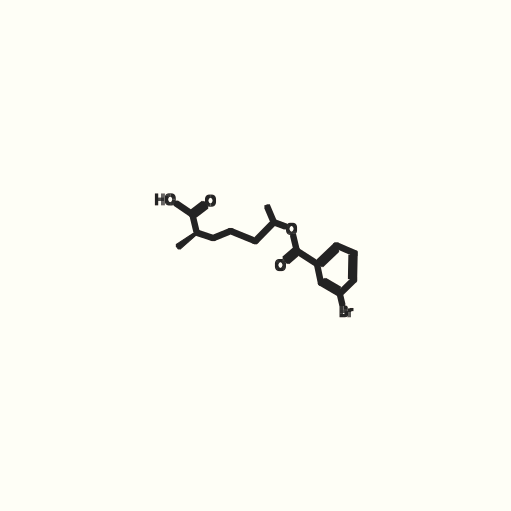 CC(CCC[C@@H](C)C(=O)O)OC(=O)c1cccc(Br)c1